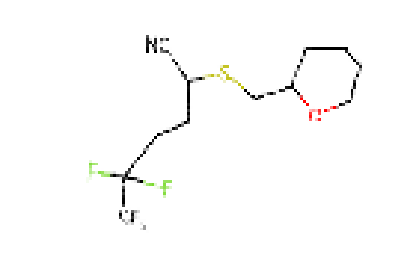 N#CC(CCC(F)(F)C(F)(F)F)SCC1CCCCO1